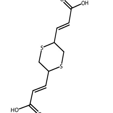 O=C(O)C=CC1CSC(C=CC(=O)O)CS1